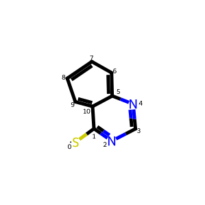 [S]c1ncnc2ccccc12